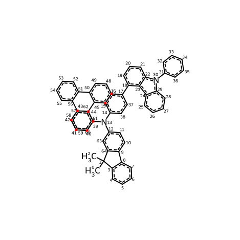 CC1(C)c2ccccc2-c2ccc(N(c3ccc(-c4cccc5c4c4ccccc4n5-c4ccccc4)cc3)c3ccccc3-c3ccccc3-c3ccccc3-c3ccccc3)cc21